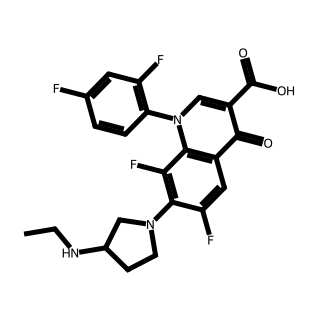 CCNC1CCN(c2c(F)cc3c(=O)c(C(=O)O)cn(-c4ccc(F)cc4F)c3c2F)C1